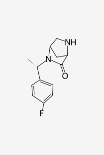 C[C@@H](c1ccc(F)cc1)N1C(=O)C2CC1CN2